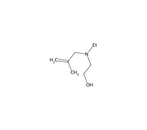 C=C(C)CN(CC)CCO